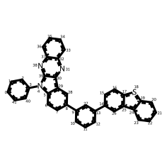 c1ccc(-n2c3ccc(-c4cccc(-c5ccc6sc7ccccc7c6c5)c4)cc3c3nc4ccccc4nc32)cc1